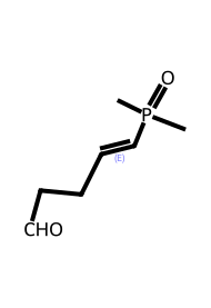 CP(C)(=O)/C=C/CCC=O